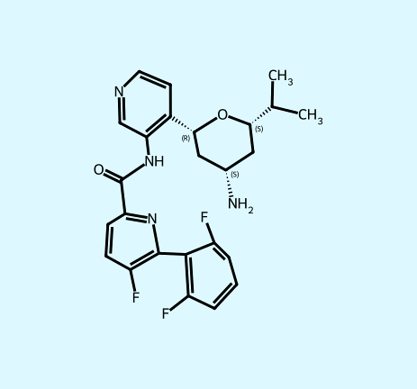 CC(C)[C@@H]1C[C@H](N)C[C@H](c2ccncc2NC(=O)c2ccc(F)c(-c3c(F)cccc3F)n2)O1